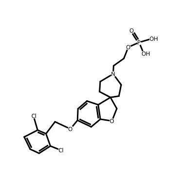 O=P(O)(O)OCCN1CCC2(CC1)COc1cc(OCc3c(Cl)cccc3Cl)ccc12